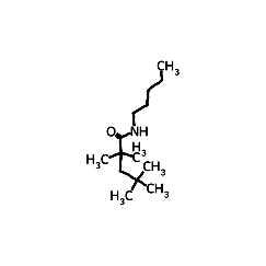 CCCCCNC(=O)C(C)(C)CC(C)(C)C